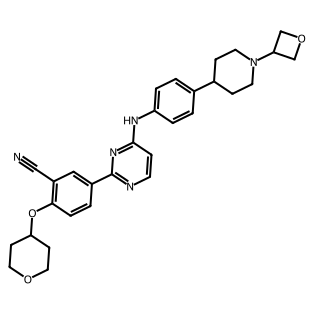 N#Cc1cc(-c2nccc(Nc3ccc(C4CCN(C5COC5)CC4)cc3)n2)ccc1OC1CCOCC1